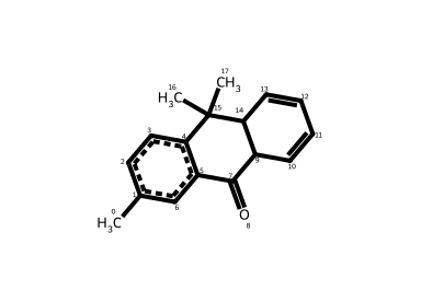 Cc1ccc2c(c1)C(=O)C1C=CC=CC1C2(C)C